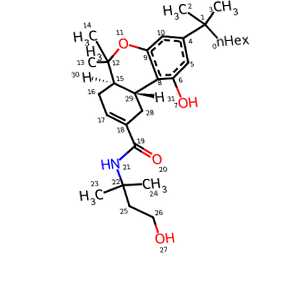 CCCCCCC(C)(C)c1cc(O)c2c(c1)OC(C)(C)[C@@H]1CC=C(C(=O)NC(C)(C)CCO)C[C@@H]21